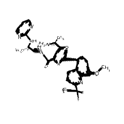 COc1ccc(-c2nc(C(=O)NC[C@H](C)Nc3ncccn3)c([C@H](C)N)o2)c2ccc(C(F)(F)F)nc12